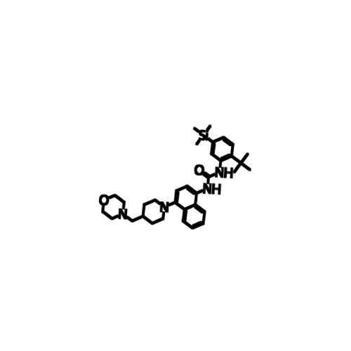 CC(C)(C)c1ccc([Si](C)(C)C)cc1NC(=O)Nc1ccc(N2CCC(CN3CCOCC3)CC2)c2ccccc12